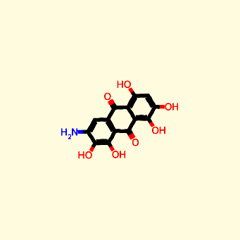 Nc1cc2c(c(O)c1O)C(=O)c1c(O)c(O)cc(O)c1C2=O